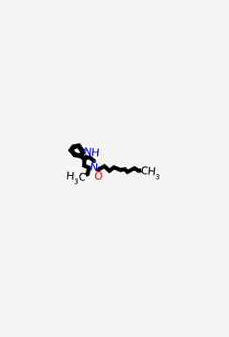 CCCCCCCCCC(=O)N1Cc2[nH]c3ccccc3c2CC1CC